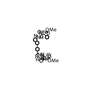 COC(=O)N[C@H](C(=O)N1C(c2ncc(-c3ccc(-c4ccc5c(ccc6nc([C@@H]7CCCN7C(=O)[C@H](NC(=O)OC)c7ccccc7)[nH]c65)c4)cc3)[nH]2)[C@H]2CC[C@@H]1C2)C(C)C